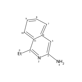 CCc1nc(N)cc2ccccc12